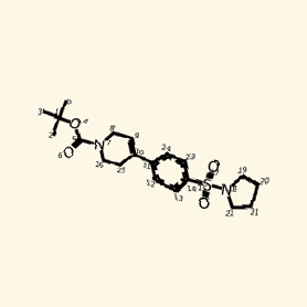 CC(C)(C)OC(=O)N1CC=C(c2ccc(S(=O)(=O)N3CCCC3)cc2)CC1